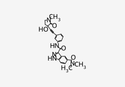 CN(C)C(=O)c1ccc2[nH]nc(C(=O)Nc3cccc(C#C[C@]4(O)CCN(C)C4=O)c3)c2c1